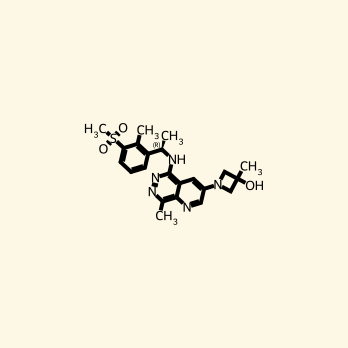 Cc1c([C@@H](C)Nc2nnc(C)c3ncc(N4CC(C)(O)C4)cc23)cccc1S(C)(=O)=O